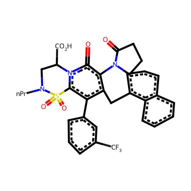 CCCN1CC(C(=O)O)n2c(c(-c3cccc(C(F)(F)F)c3)c(Cc3cccc4ccccc34)c(N3CCCC3=O)c2=O)S1(=O)=O